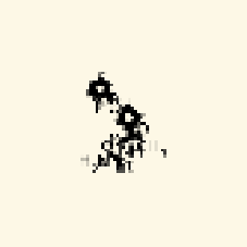 CCC(NC(=O)c1c(C)oc2ccc(OCc3ccccc3F)cc12)C(N)=O